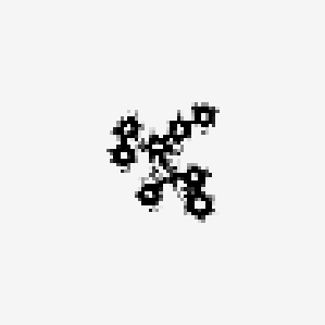 c1ccc(-c2ccc3c(c2)oc2c(-c4nc(-c5ccccc5)nc(-c5cccc6c5oc5ccccc56)n4)cc(-n4c5ccccc5c5ccccc54)cc23)cc1